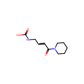 O=C(O)NC/C=C/C(=O)N1CCCCC1